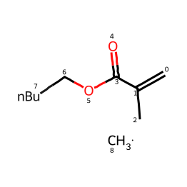 C=C(C)C(=O)OCCCCC.[CH3]